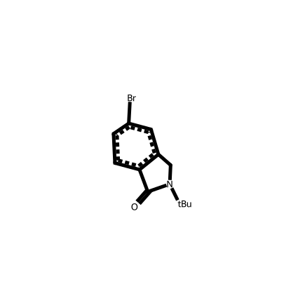 CC(C)(C)N1Cc2cc(Br)ccc2C1=O